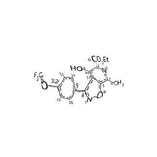 CCOC(=O)c1nc(C)c2onc(-c3ccc(OC(F)(F)F)cc3)c2c1O